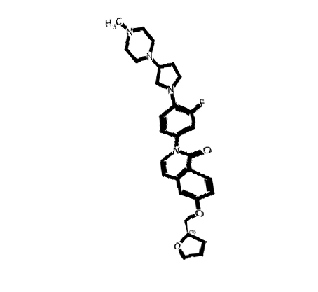 CN1CCN(C2CCN(c3ccc(-n4ccc5cc(OC[C@H]6CCCO6)ccc5c4=O)cc3F)C2)CC1